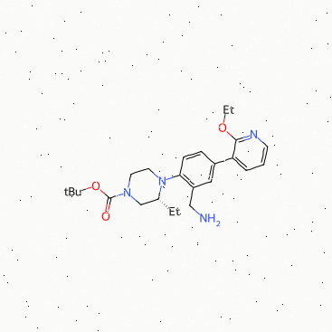 CCOc1ncccc1-c1ccc(N2CCN(C(=O)OC(C)(C)C)C[C@H]2CC)c(CN)c1